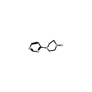 [CH2]CN1CCN(c2ccncn2)CC1